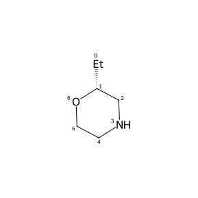 CC[C@@H]1CNCCO1